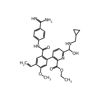 C=Cc1cc(C(=O)Nc2ccc(C(=N)N)cc2)c(-c2ccc(C(O)NCC3CC3)nc2C(=O)OCC)cc1OC